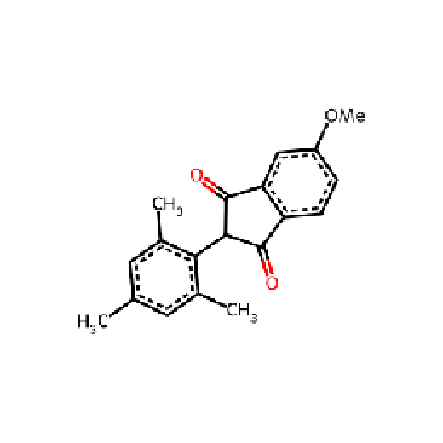 COc1ccc2c(c1)C(=O)C(c1c(C)cc(C)cc1C)C2=O